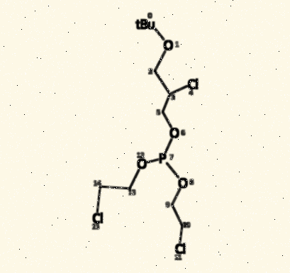 CC(C)(C)OCC(Cl)COP(OCCCl)OCCCl